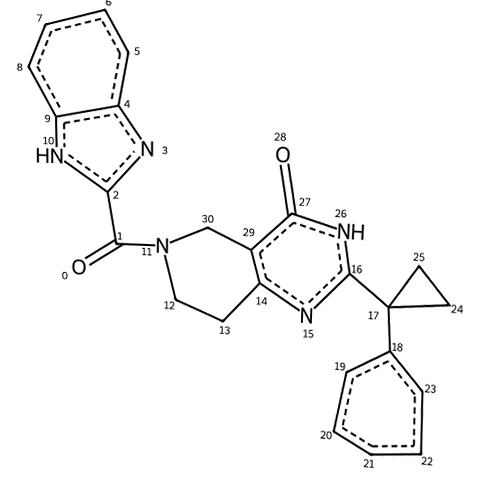 O=C(c1nc2ccccc2[nH]1)N1CCc2nc(C3(c4ccccc4)CC3)[nH]c(=O)c2C1